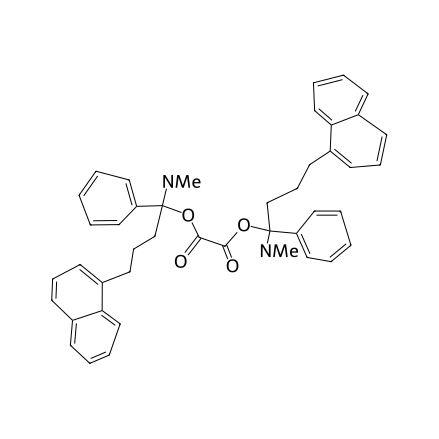 CNC(CCCc1cccc2ccccc12)(OC(=O)C(=O)OC(CCCc1cccc2ccccc12)(NC)c1ccccc1)c1ccccc1